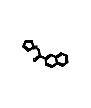 O=C(C[SH]1C=CC=C1)c1ccc2ccccc2c1